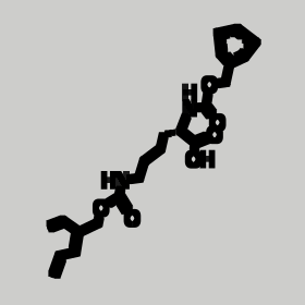 C=C/C=C(\C=C)COC(=O)NCCCC[C@H](NC(=O)OCc1ccccc1)C(=O)O